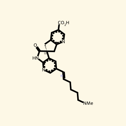 CNCCCC/C=C/c1cnc2c(c1)[C@@]1(Cc3cc(C(=O)O)cnc3C1)C(=O)N2